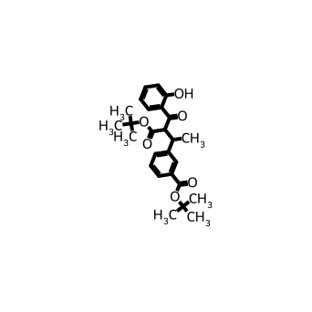 CC(c1cccc(C(=O)OC(C)(C)C)c1)C(C(=O)OC(C)(C)C)C(=O)c1ccccc1O